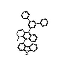 CC1CC=Cc2c1c(-c1cccc3sc4ccccc4c13)c1ccccc1c2-c1cc(-c2ccccc2)cc(-c2ccccc2)c1